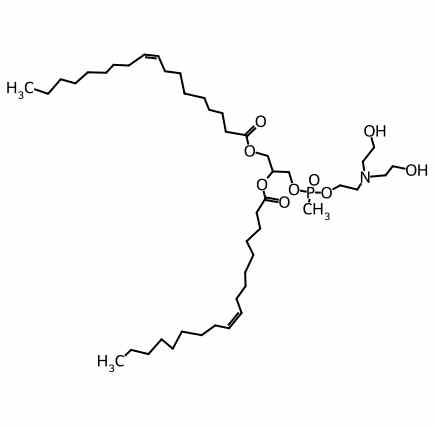 CCCCCCCC/C=C\CCCCCCCC(=O)OCC(COP(C)(=O)OCCN(CCO)CCO)OC(=O)CCCCCCC/C=C\CCCCCCCC